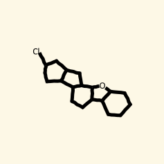 ClC1CCC2C(C1)CC1C2CCC2C3CCCCC3OC21